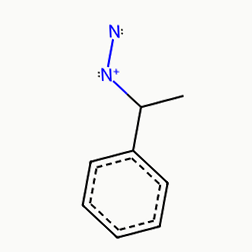 CC([N+][N])c1ccccc1